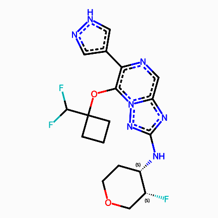 FC(F)C1(Oc2c(-c3cn[nH]c3)ncc3nc(N[C@H]4CCOC[C@H]4F)nn23)CCC1